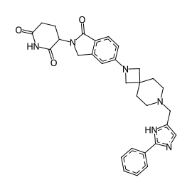 O=C1CCC(N2Cc3cc(N4CC5(CCN(Cc6cnc(-c7ccccc7)[nH]6)CC5)C4)ccc3C2=O)C(=O)N1